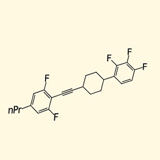 CCCc1cc(F)c(C#CC2CCC(c3ccc(F)c(F)c3F)CC2)c(F)c1